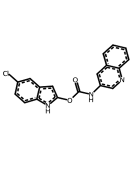 O=C(Nc1cnc2ccccc2c1)Oc1cc2cc(Cl)ccc2[nH]1